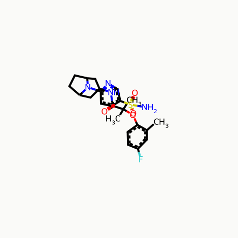 Cc1cc(F)ccc1OC(C)(C)C(=O)NC1CC2CCC(C1)N2c1ccc(S(N)(=O)=O)cn1